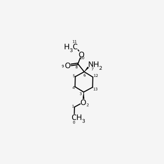 CCO[C@H]1CC[C@](N)(C(=O)OC)CC1